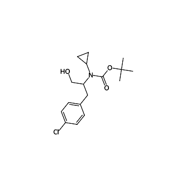 CC(C)(C)OC(=O)N(C1CC1)C(CO)Cc1ccc(Cl)cc1